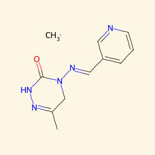 CC1=NNC(=O)N(/N=C/c2cccnc2)C1.[CH3]